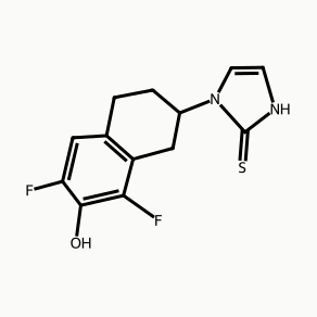 Oc1c(F)cc2c(c1F)CC(n1cc[nH]c1=S)CC2